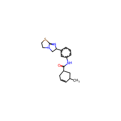 CC1C=CCC(C(=O)Nc2cccc(C3CN4CCSC4=N3)c2)C1